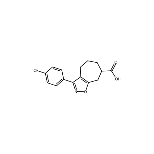 O=C(O)C1CCCc2c(-c3ccc(Cl)cc3)noc2C1